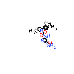 Cc1ccc([C@@H]2CC[C@@H](C)CN2C(=O)C(=O)Nc2cncc(C(N)=O)c2)cc1C